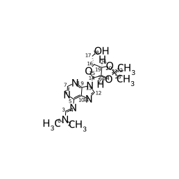 CN(C)C=Nc1ncnc2c1ncn2[C@@H]1O[C@H](CO)[C@H]2OC(C)(C)O[C@H]21